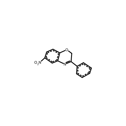 O=[N+]([O-])c1ccc2c(c1)N=C(c1ccccc1)CO2